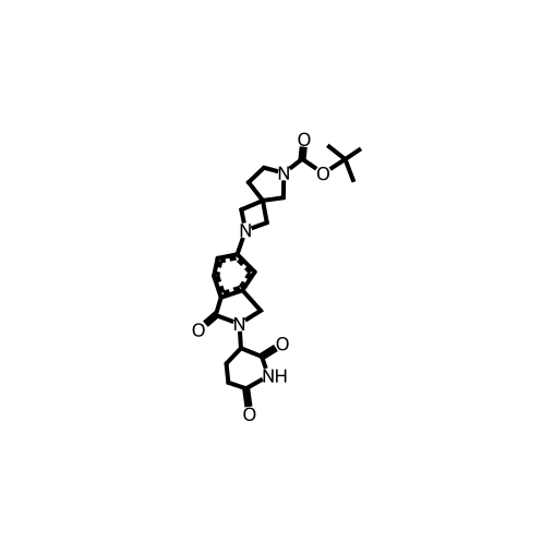 CC(C)(C)OC(=O)N1CCC2(C1)CN(c1ccc3c(c1)CN(C1CCC(=O)NC1=O)C3=O)C2